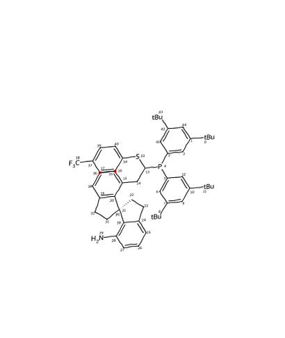 CC(C)(C)c1cc(P(c2cc(C(C)(C)C)cc(C(C)(C)C)c2)C(Cc2cccc3c2[C@]2(CCc4cccc(N)c42)CC3)Sc2ccc(C(F)(F)F)cc2)cc(C(C)(C)C)c1